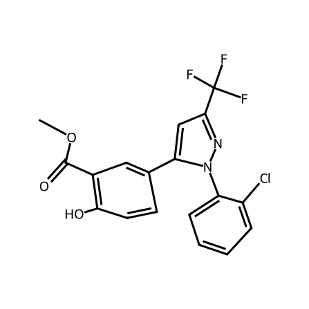 COC(=O)c1cc(-c2cc(C(F)(F)F)nn2-c2ccccc2Cl)ccc1O